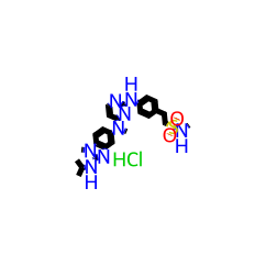 CNS(=O)(=O)CCc1ccc(Nc2nccc(N(C)c3ccc4c(c3)nc(NC(C)C)n4C)n2)cc1.Cl